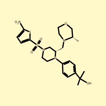 C[C@H]1COCCN1C[C@H]1CN(S(=O)(=O)c2ccc([N+](=O)[O-])s2)CCN1c1ccc(C(C)(C)O)cc1